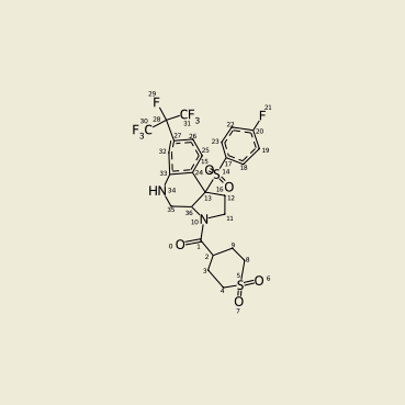 O=C(C1CCS(=O)(=O)CC1)N1CCC2(S(=O)(=O)c3ccc(F)cc3)c3ccc(C(F)(C(F)(F)F)C(F)(F)F)cc3NCC12